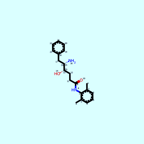 Cc1cccc(C)c1NC(=O)CC[C@H](O)[C@@H](N)Cc1ccccc1